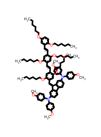 CCCCCCOc1ccc(OCCCCCC)c(/C=C/c2cc(OCCCCCC)c(/C=C/c3cc(OCCCCCC)c(C=C4c5cc(N(c6ccc(OC)cc6)c6ccc(OC)cc6)ccc5-c5ccc(N(c6ccc(OC)cc6)c6ccc(OC)cc6)cc54)cc3OCCCCCC)cc2OCCCCCC)c1